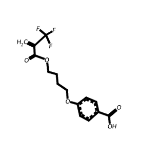 C=C(C(=O)OCCCCOc1ccc(C(=O)O)cc1)C(F)(F)F